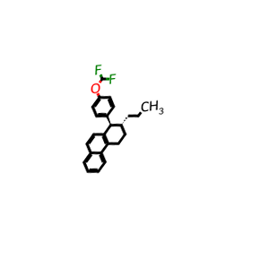 CCC[C@@H]1CCc2c(ccc3ccccc23)[C@H]1c1ccc(OC(F)F)cc1